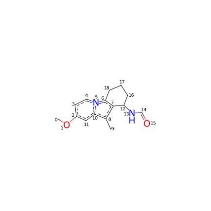 COc1ccn2c3c(c(C)c2c1)C(NC=O)CCC3